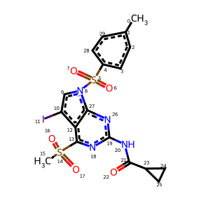 Cc1ccc(S(=O)(=O)n2cc(I)c3c(S(C)(=O)=O)nc(NC(=O)C4CC4)nc32)cc1